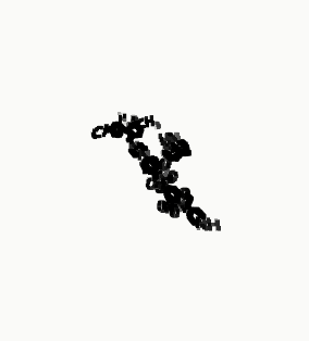 CC1(C)CCC(CN2CCN(c3ccc(C(=O)NS(=O)(=O)c4cc5c(c([N+](=O)[O-])c4)N[C@H](C4CCNCC4)CO5)c(Oc4cnc5[nH]ccc5c4)c3)CC2)=C(c2ccc(Cl)cc2)C1